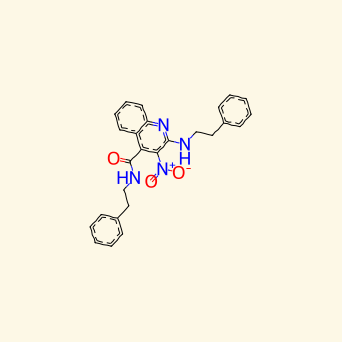 O=C(NCCc1ccccc1)c1c([N+](=O)[O-])c(NCCc2ccccc2)nc2ccccc12